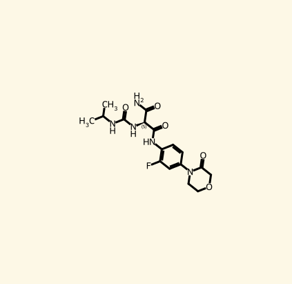 CC(C)NC(=O)N[C@@H](C(N)=O)C(=O)Nc1ccc(N2CCOCC2=O)cc1F